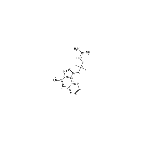 CC(C)(CNC(=N)N)Cn1cnc2c(N)nc3ccccc3c21